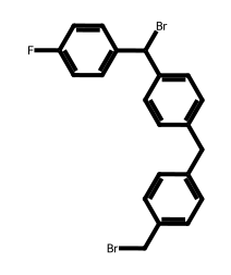 Fc1ccc(C(Br)c2ccc(Cc3ccc(CBr)cc3)cc2)cc1